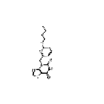 CCCCOc1cccc(Cn2c(=S)[nH]c(=O)c3[nH]cnc32)n1